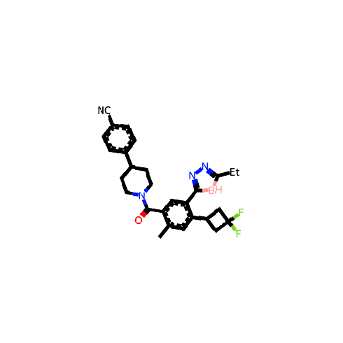 CCC1=NN=C(c2cc(C(=O)N3CCC(c4ccc(C#N)cc4)CC3)c(C)cc2C2CC(F)(F)C2)B1